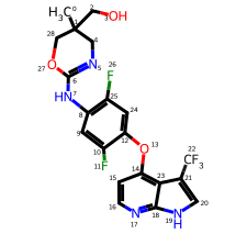 CC1(CO)CN=C(Nc2cc(F)c(Oc3ccnc4[nH]cc(C(F)(F)F)c34)cc2F)OC1